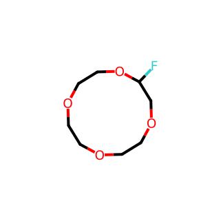 FC1COCCOCCOCCO1